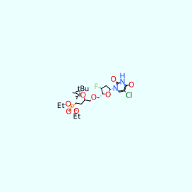 CCOP(=O)(CCC(COC[C@H]1O[C@@H](n2cc(Cl)c(=O)[nH]c2=O)C[C@@H]1F)O[Si](C)(C)C(C)(C)C)OCC